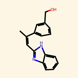 CC(=Cc1nc2ccccc2[nH]1)c1cccc(CO)c1